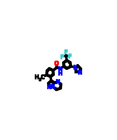 Cc1ccc(C(=O)Nc2cc(-n3ccnc3)cc(C(F)(F)F)c2)cc1-c1cnn2cccnc12